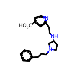 O=C(O)c1ccnc(CCN[C@@H]2CCN(CCCc3ccccc3)C2)c1